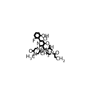 C=CC(=O)N1CCN2C(=O)c3c(N4CC(=O)N(C)CC4(C)C)nc(-c4c(O)cccc4F)c(Cl)c3OC[C@H]2C1